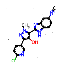 [C-]#[N+]c1ccc2[nH]c(-c3c(O)c(-c4ccc(Cl)nc4)nn3C)nc2c1